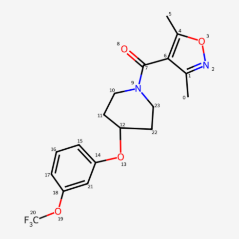 Cc1noc(C)c1C(=O)N1CCC(Oc2cccc(OC(F)(F)F)c2)CC1